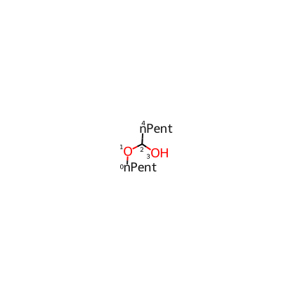 CCCCCOC(O)CCCCC